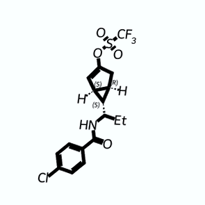 CCC(NC(=O)c1ccc(Cl)cc1)[C@@H]1[C@H]2C=C(OS(=O)(=O)C(F)(F)F)C[C@H]21